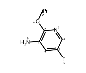 CC(C)Oc1ncc(F)cc1N